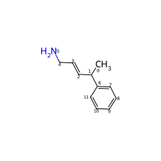 CC(C=CCN)c1ccccc1